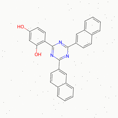 Oc1ccc(-c2nc(-c3ccc4ccccc4c3)nc(-c3ccc4ccccc4c3)n2)c(O)c1